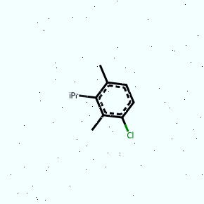 Cc1ccc(Cl)c(C)c1C(C)C